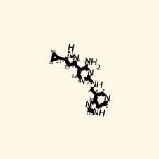 Nc1nc(NCc2cncc3[nH]cnc23)ncc1-c1cc(C2CC2)[nH]n1